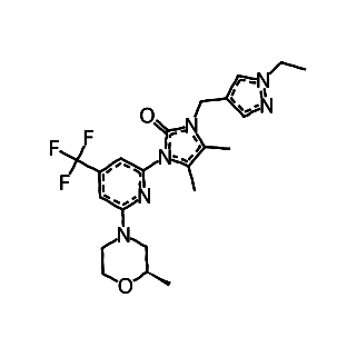 CCn1cc(Cn2c(C)c(C)n(-c3cc(C(F)(F)F)cc(N4CCO[C@H](C)C4)n3)c2=O)cn1